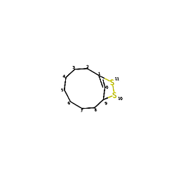 C1=C2CCCCCCCC1SS2